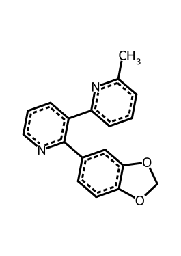 Cc1cccc(-c2cccnc2-c2ccc3c(c2)OCO3)n1